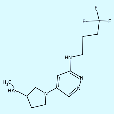 C[AsH]C1CCN(c2cnnc(NCCCC(F)(F)F)c2)C1